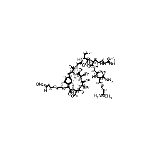 CC(C)CC(NC(=O)CNC(=O)C(Cc1ccccc1)NC(=O)C(NC(=O)C(NC(=O)C(CO)NC(=O)COCCOCCNC=O)C(C)C)C(C)C)C(=O)NC(CCCNC(=N)N)C(=O)NCC(=O)NC(CSSCC(C)N)C(N)=O